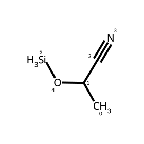 CC(C#N)O[SiH3]